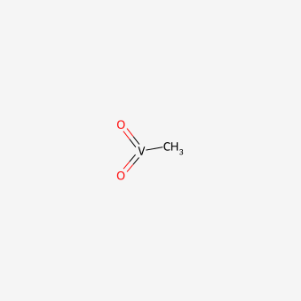 [CH3][V](=[O])=[O]